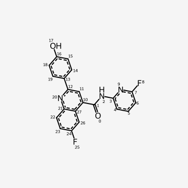 O=C(Nc1cccc(F)n1)c1cc(-c2ccc(O)cc2)nc2ccc(F)cc12